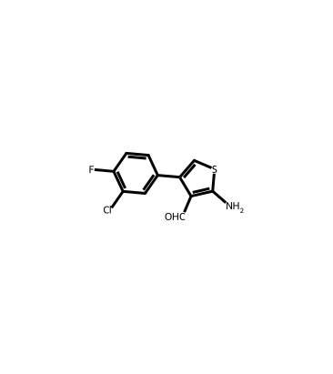 Nc1scc(-c2ccc(F)c(Cl)c2)c1C=O